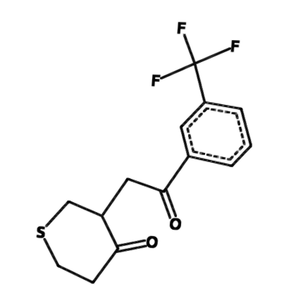 O=C(CC1CSCCC1=O)c1cccc(C(F)(F)F)c1